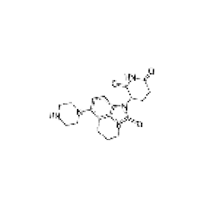 O=C1CCC(n2c(=O)n3c4c(c(N5CCNCC5)ccc42)CCC3)C(=O)N1